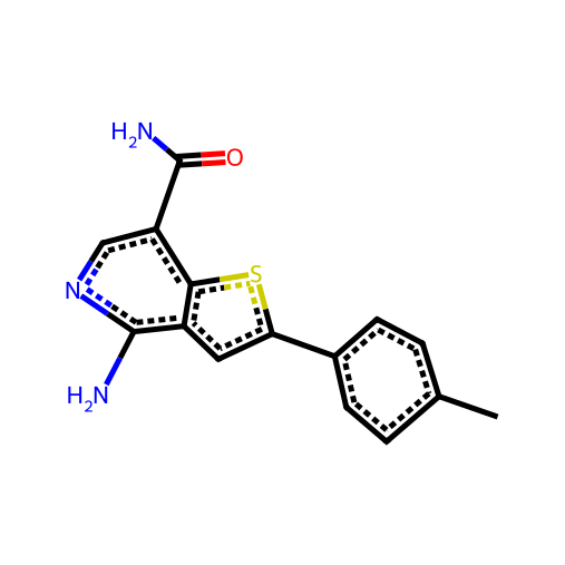 Cc1ccc(-c2cc3c(N)ncc(C(N)=O)c3s2)cc1